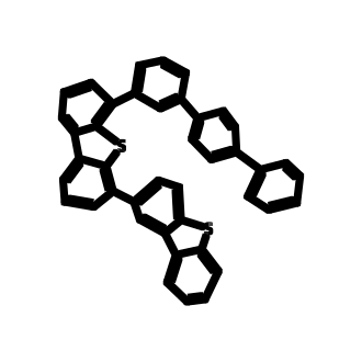 c1ccc(-c2ccc(-c3cccc(-c4cccc5c4sc4c(-c6ccc7sc8ccccc8c7c6)cccc45)c3)cc2)cc1